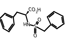 O=C(O)[C@H](Cc1ccccc1)NS(=O)(=O)Cc1ccccc1